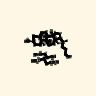 CC(C)CCC[C@@H](C)[C@H]1CC[C@H]2[C@@H]3CC=C4C[C@@H](O)CC[C@]4(C)[C@H]3CC[C@]12C.COCCO.O=C(O)CCC(=O)O